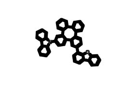 c1ccc2c(c1)-c1ccccc1-c1cc(-n3c4ccccc4c4ccccc43)ccc1-c1cc(-c3cccc4c3oc3ccccc34)ccc1-2